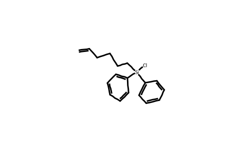 C=CCCCC[Si](Cl)(c1ccccc1)c1ccccc1